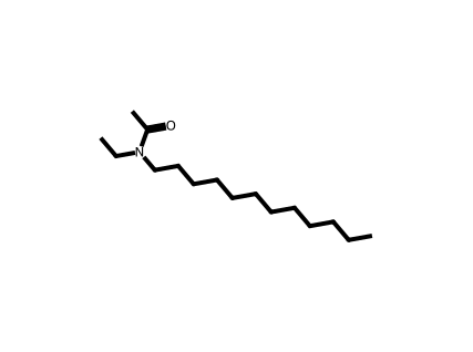 CCCCCCCCCCCCN(CC)C(C)=O